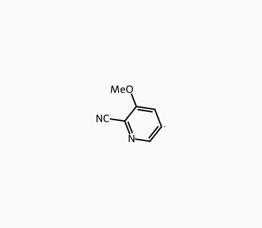 COc1c[c]cnc1C#N